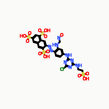 O=NCNc1cc(Nc2nc(Cl)nc(NCCS(=O)(=O)O)n2)ccc1/N=N/c1cc2c(S(=O)(=O)O)cc(S(=O)(=O)O)cc2cc1S(=O)(=O)O